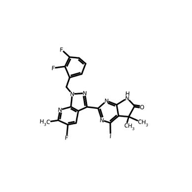 Cc1nc2c(cc1F)c(-c1nc(I)c3c(n1)NC(=O)C3(C)C)nn2Cc1cccc(F)c1F